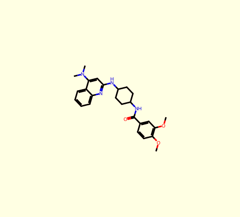 COc1ccc(C(=O)NC2CCC(Nc3cc(N(C)C)c4ccccc4n3)CC2)cc1OC